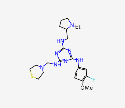 CCN1CCCC1CNc1nc(NCN2CCSCC2)nc(Nc2ccc(OC)c(F)c2)n1